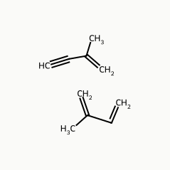 C#CC(=C)C.C=CC(=C)C